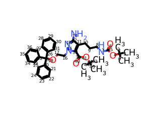 CC(C)(C)OC(=O)NCCCc1c(N)nn(CCOC(c2ccccc2)(c2ccccc2)c2ccccc2)c1C(=O)OC(C)(C)C